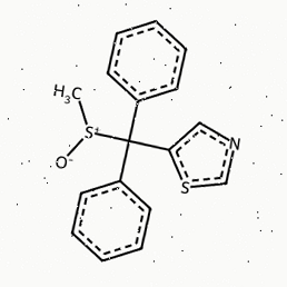 C[S+]([O-])C(c1ccccc1)(c1ccccc1)c1cncs1